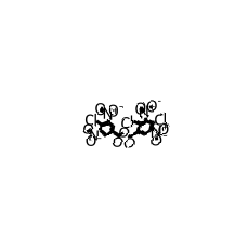 O=C(OC(=O)c1cc([N+](=O)[O-])c(Cl)c([N+](=O)[O-])c1Cl)c1cc([N+](=O)[O-])c(Cl)c([N+](=O)[O-])c1